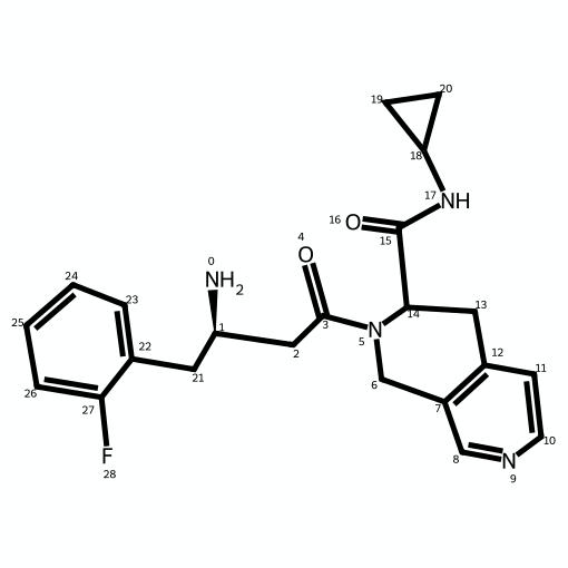 N[C@@H](CC(=O)N1Cc2cnccc2CC1C(=O)NC1CC1)Cc1ccccc1F